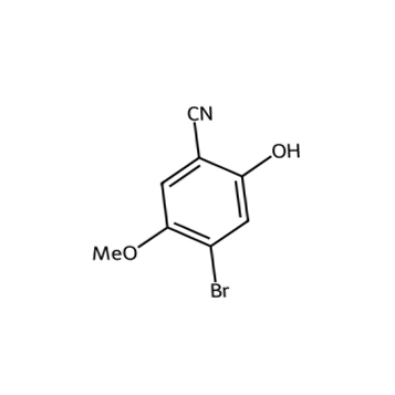 COc1cc(C#N)c(O)cc1Br